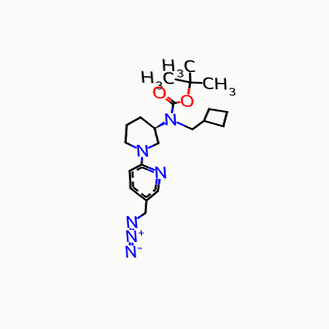 CC(C)(C)OC(=O)N(CC1CCC1)[C@@H]1CCCN(c2ccc(CN=[N+]=[N-])cn2)C1